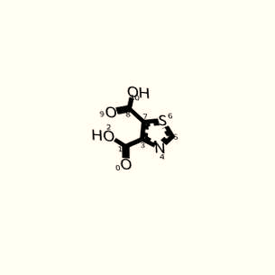 O=C(O)c1ncsc1C(=O)O